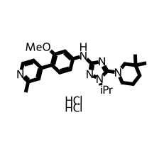 COc1cc(Nc2nc(N3CCCC(C)(C)C3)n(C(C)C)n2)ccc1-c1ccnc(C)c1.Cl.Cl